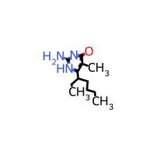 CCCCC(CC)c1[nH]c(N)nc(=O)c1C